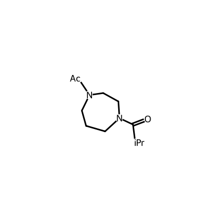 CC(=O)N1CCCN(C(=O)C(C)C)CC1